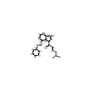 CN(C)C/C=C/C(=O)c1c[nH]c2ncnc(OCc3ccccc3)c12